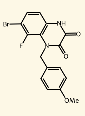 COc1ccc(Cn2c(=O)c(=O)[nH]c3ccc(Br)c(F)c32)cc1